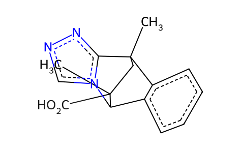 CC12CC(C)(C(=O)O)C(c3ccccc31)n1cnnc12